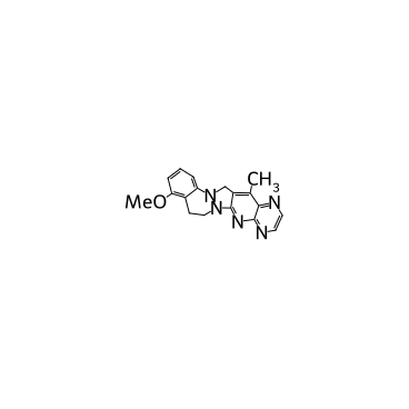 COc1cccc2c1CCN1c3nc4nccnc4c(C)c3CN21